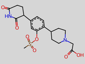 CS(=O)(=O)Oc1cc(C2CCC(=O)NC2=O)ccc1C1CCN(CC(=O)O)CC1